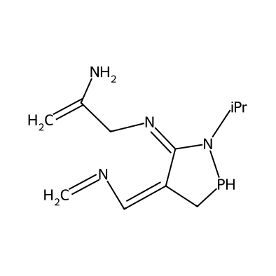 C=N/C=C1/CPN(C(C)C)/C1=N/CC(=C)N